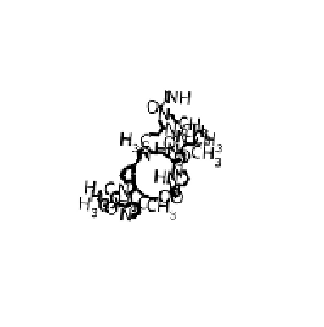 CCCC1CN(C(=O)[C@H]2CN2)CC(C)N1C(=O)N(C)C(C(=O)N[C@H]1Cc2nc(cs2)-c2ccc3c(c2)c(c(-c2cccnc2[C@H](C)OC)n3CC)CC(C)(C)COC(=O)[C@@H]2CCCN(N2)C1=O)C(C)C